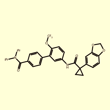 CC(C)N(C(=O)c1ccc(-c2cc(NC(=O)C3(c4ccc5c(c4)OCO5)CC3)ccc2OC(F)(F)F)cc1)C(C)C